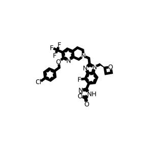 O=c1[nH]c(-c2ccc3c(nc(CN4CCc5cc(C(F)(F)F)c(OCc6ccc(Cl)cc6)nc5C4)n3C[C@@H]3CCO3)c2F)no1